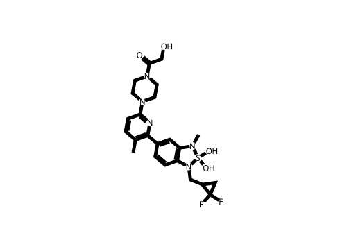 Cc1ccc(N2CCN(C(=O)CO)CC2)nc1-c1ccc2c(c1)N(C)S(O)(O)N2CC1CC1(F)F